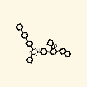 c1ccc(C2=NC(c3ccc(-c4ccc(-c5ccc6ccccc6c5)c5oc6ccccc6c45)cc3)NC(c3ccc(-c4ccc(-c5ccccc5)cc4)cc3)=N2)cc1